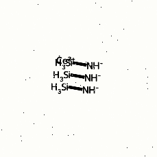 [Ce+3].[NH-][SiH3].[NH-][SiH3].[NH-][SiH3]